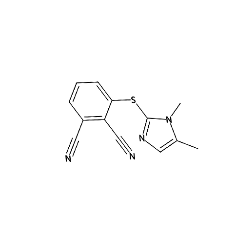 Cc1cnc(Sc2cccc(C#N)c2C#N)n1C